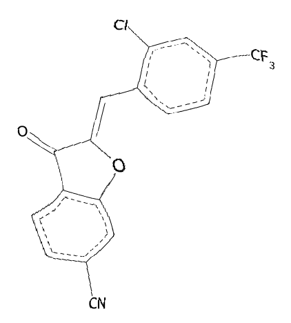 N#Cc1ccc2c(c1)O/C(=C\c1ccc(C(F)(F)F)cc1Cl)C2=O